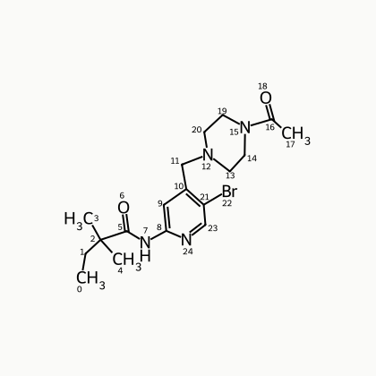 CCC(C)(C)C(=O)Nc1cc(CN2CCN(C(C)=O)CC2)c(Br)cn1